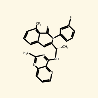 Cc1nc(N[C@@H](C)c2cc3cccc(C(F)(F)F)c3c(=O)n2-c2cccc(F)c2)c2ncccc2n1